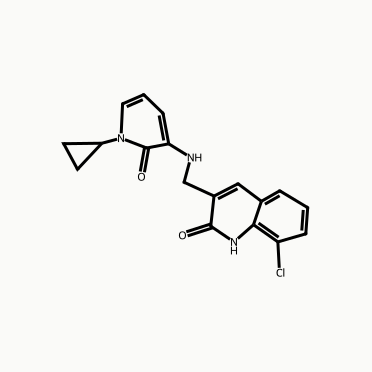 O=c1[nH]c2c(Cl)cccc2cc1CNc1cccn(C2CC2)c1=O